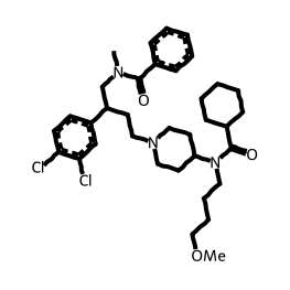 COCCCCN(C(=O)C1CCCCC1)C1CCN(CCC(CN(C)C(=O)c2ccccc2)c2ccc(Cl)c(Cl)c2)CC1